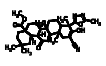 COC(=O)[C@]12CCC(C)(C)C[C@H]1[C@H]1C(=O)C=C3[C@@]4(C)CC(C#N)=C(O)[C@@](C)(c5nnc(C)o5)C4CC[C@@]3(C)[C@]1(C)CC2